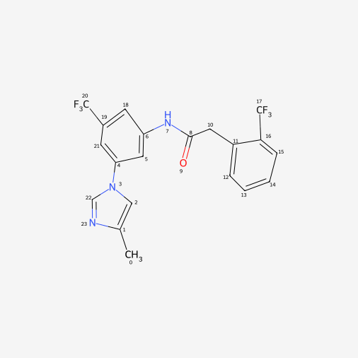 Cc1cn(-c2cc(NC(=O)Cc3ccccc3C(F)(F)F)cc(C(F)(F)F)c2)cn1